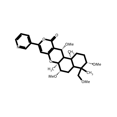 COCC1(C)C2C[C@H](OC)[C@@]3(C)Oc4cc(-c5cccnc5)oc(=O)c4[C@H](OC)C3[C@@]2(C)CC[C@@H]1OC